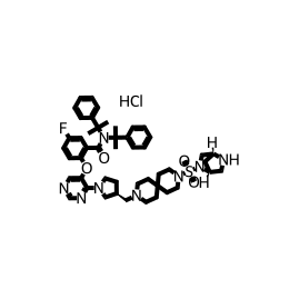 CC(C)(c1ccccc1)N(C(=O)c1cc(F)ccc1Oc1cncnc1N1CC[C@@H](CN2CCC3(CC2)CCN(S(=O)(=O)N2C[C@@H]4C[C@H]2CN4)CC3)C1)C(C)(C)c1ccccc1.Cl